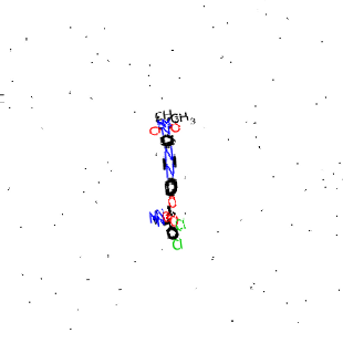 CCn1c(=O)n(-c2ccc(N3CCN(c4ccc(OCC5COC(Cn6cncn6)(c6ccc(Cl)cc6Cl)O5)cc4)CC3)cc2)c(=O)n1CC